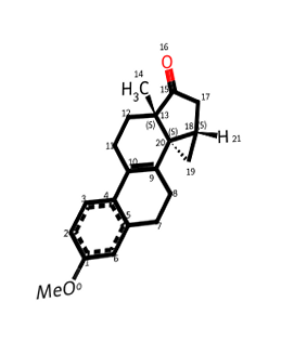 COc1ccc2c(c1)CCC1=C2CC[C@]2(C)C(=O)C[C@@H]3C[C@@]132